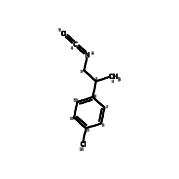 CC(CN=C=O)c1ccc(Cl)cc1